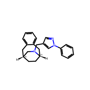 c1ccc(-n2cc(CN3C[C@@H]4CC[C@H]3Cc3ccccc3C4)cn2)cc1